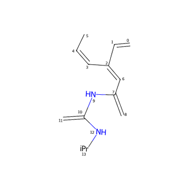 C=CC(/C=C\C)=C/C(=C)NC(=C)NC(C)C